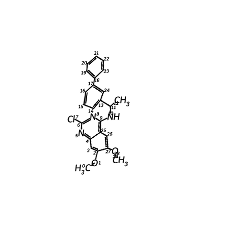 COc1cc2nc(Cl)nc(NC(C)c3cccc(-c4ccccc4)c3)c2cc1OC